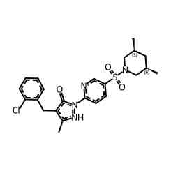 Cc1[nH]n(-c2ccc(S(=O)(=O)N3C[C@H](C)C[C@H](C)C3)cn2)c(=O)c1Cc1ccccc1Cl